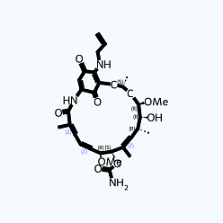 C=CCNC1=C2C[C@H](C)C[C@@H](OC)[C@H](O)[C@H](C)/C=C(/C)[C@H](OC(N)=O)[C@H](OC)/C=C\C=C(\C)C(=O)NC(=CC1=O)C2=O